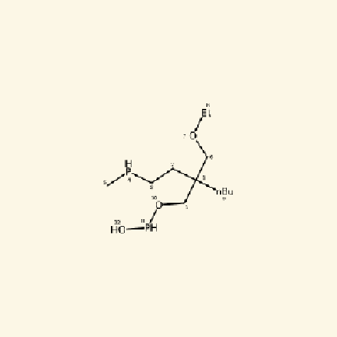 CCCCC(CCPC)(COCC)COPO